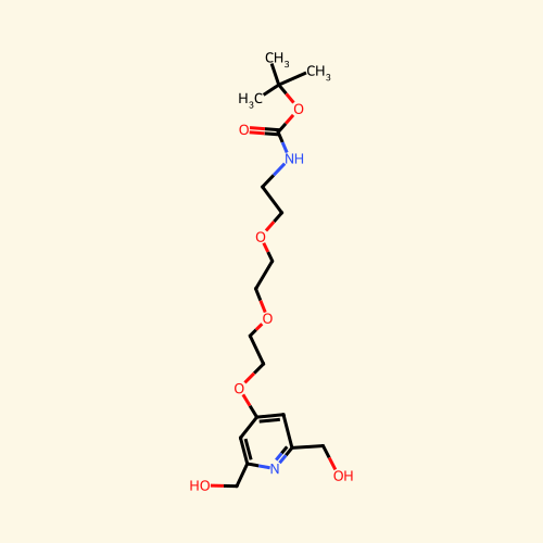 CC(C)(C)OC(=O)NCCOCCOCCOc1cc(CO)nc(CO)c1